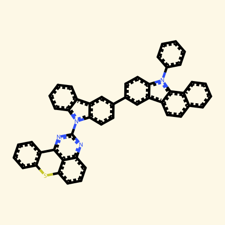 c1ccc(-n2c3ccc(-c4ccc5c(c4)c4ccccc4n5-c4nc5c6c(cccc6n4)Sc4ccccc4-5)cc3c3ccc4ccccc4c32)cc1